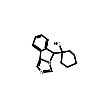 OC1(C2c3ccccc3-c3cncn32)CCCCC1